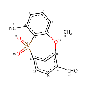 C.N#Cc1cccc2c1S(=O)(=O)c1ccc(C=O)c(c1)O2